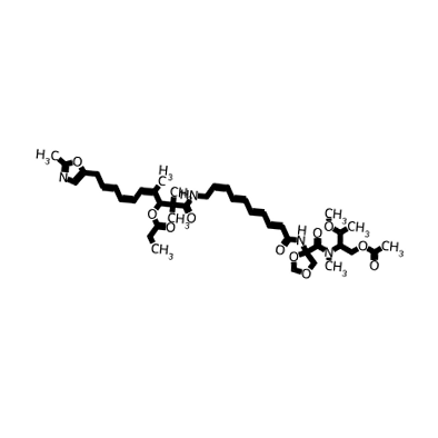 CCC(=O)OC(\C(C)=C/C=C\C=C\Cc1cnc(C)o1)C(C)(C)C(=O)NC\C=C/C=C/C=C/C=C/C(=O)NC1(C(=O)N(C)C(COC(C)=O)C(C)OC)COCO1